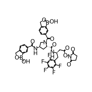 O=C(C[C@@H](Cc1c(F)c(F)c(F)c(F)c1F)NC(=O)[C@@H]1C[C@@H](NC(=O)c2ccc3c(c2)B(O)OC3)CN1C(=O)c1ccc2c(c1)B(O)OC2)ON1C(=O)CCC1=O